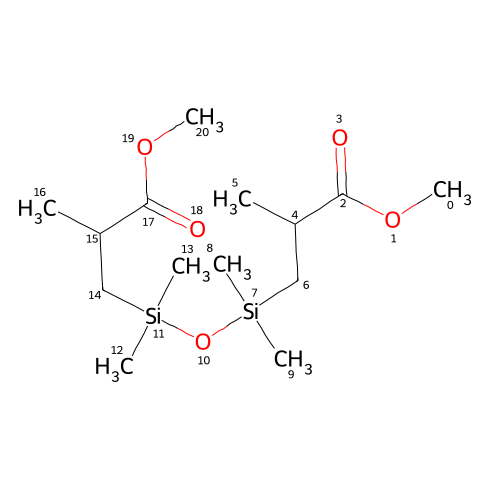 COC(=O)C(C)C[Si](C)(C)O[Si](C)(C)CC(C)C(=O)OC